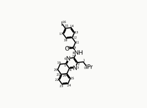 CC(C)Cc1nc2c(nc1NC(=O)Cc1ccc(I)cc1)CCc1ccccc1-2